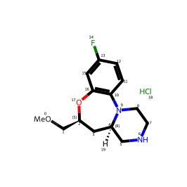 COC[C@@H]1C[C@@H]2CNCCN2c2ccc(F)cc2O1.Cl